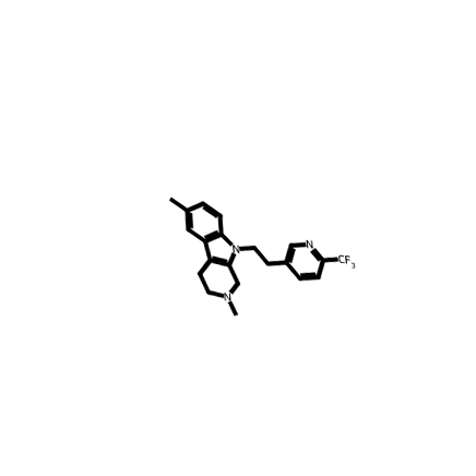 Cc1ccc2c(c1)c1c(n2CCc2ccc(C(F)(F)F)nc2)CN(C)CC1